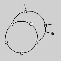 CN1CCCN(C)C(Br)CN2CCOCCOCCN(CCOCC2)CC1